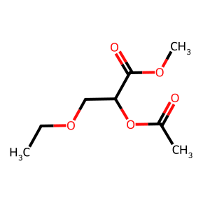 CCOCC(OC(C)=O)C(=O)OC